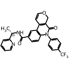 C[C@H](NC(=O)c1ccc2c(c1)c1c(c(=O)n2-c2ccc(C(F)(F)F)cc2)COC=C1)c1ccccn1